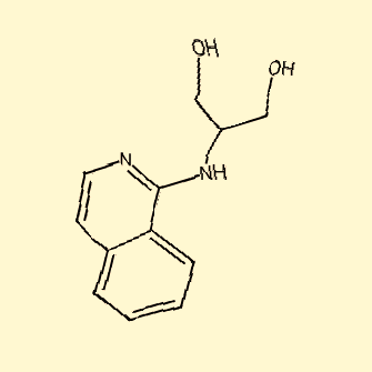 OCC(CO)Nc1nccc2ccccc12